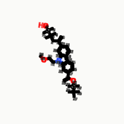 C=C(CC(C)(C)[Si](C)(C)O)c1ccc2c3ccc(C(=C)O[Si](C)(C)C(C)(C)C)cc3n(CCOC)c2c1